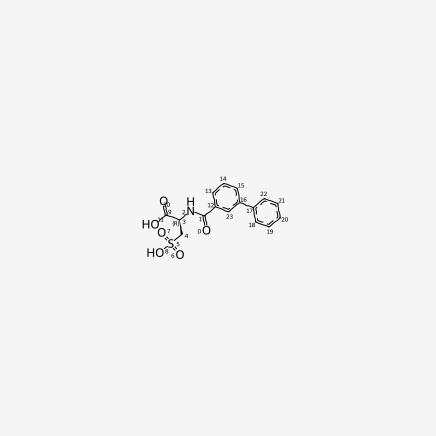 O=C(N[C@@H](CS(=O)(=O)O)C(=O)O)c1cccc(-c2ccccc2)c1